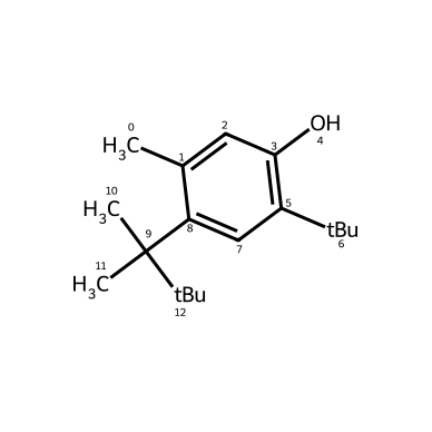 Cc1cc(O)c(C(C)(C)C)cc1C(C)(C)C(C)(C)C